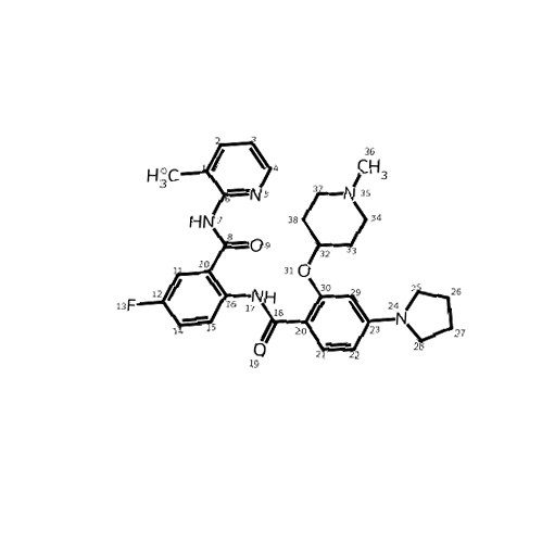 Cc1cccnc1NC(=O)c1cc(F)ccc1NC(=O)c1ccc(N2CCCC2)cc1OC1CCN(C)CC1